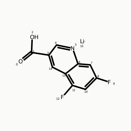 O=C(O)c1cnc2cc(F)cc(F)c2c1.[Li]